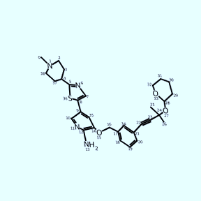 CN1CCC(c2ncc(-c3cnc(N)c(OCc4cccc(C#CC(C)(C)OC5CCCCO5)c4)c3)s2)CC1